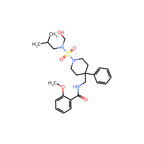 COc1ccccc1C(=O)NCC1(c2ccccc2)CCN(S(=O)(=O)N(CO)CC(C)C)CC1